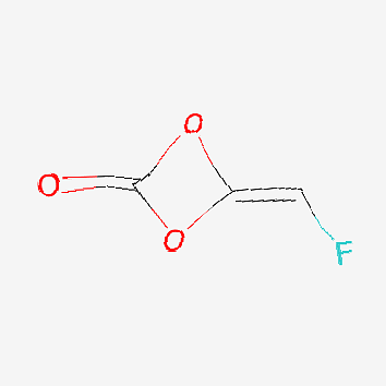 O=C1OC(=CF)O1